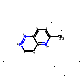 Cc1ccc2nnccc2n1